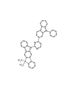 CC1(C)c2ccccc2-c2cc3c(cc21)c1ccccc1n3-c1nccc(-c2ccc3c4ccccc4n(-c4ccccc4)c3c2)n1